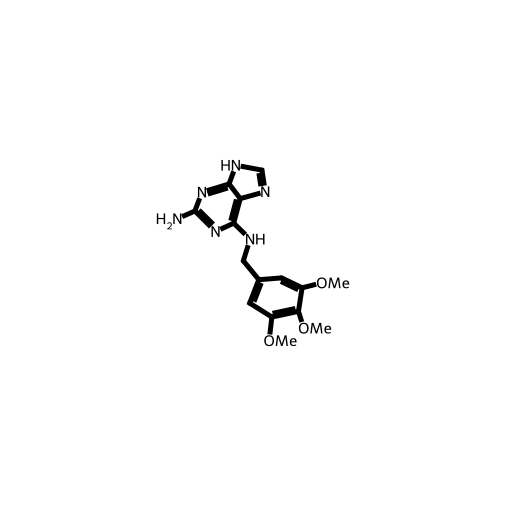 COc1cc(CNc2nc(N)nc3[nH]cnc23)cc(OC)c1OC